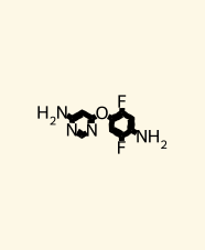 Nc1cc(Oc2cc(F)c(N)cc2F)ncn1